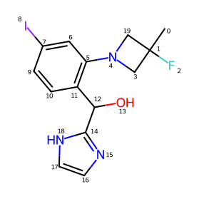 CC1(F)CN(c2cc(I)ccc2C(O)c2ncc[nH]2)C1